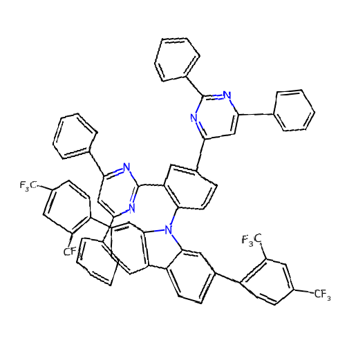 FC(F)(F)c1ccc(-c2ccc3c4ccc(-c5ccc(C(F)(F)F)cc5C(F)(F)F)cc4n(-c4ccc(-c5cc(-c6ccccc6)nc(-c6ccccc6)n5)cc4-c4nc(-c5ccccc5)cc(-c5ccccc5)n4)c3c2)c(C(F)(F)F)c1